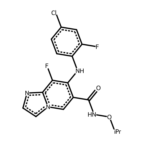 CC(C)ONC(=O)c1cn2ccnc2c(F)c1Nc1ccc(Cl)cc1F